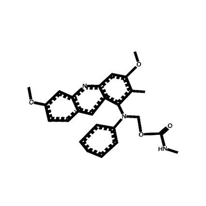 CNC(=O)OCN(c1ccccc1)c1c(C)c(OC)cc2nc3cc(OC)ccc3cc12